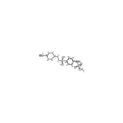 CC(C)(C)N1CCC(CCS(=O)(=O)c2ccc(NS(C)(=O)=O)cc2)CC1